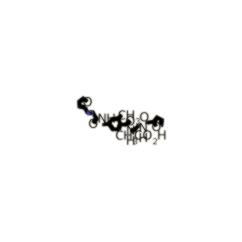 Cc1cc(CNC(=O)/C=C/c2ccco2)cc(C)c1C(=O)N[C@@H](CNC(=O)c1ccco1)C(=O)O